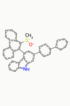 C[S+]([O-])c1c(-c2cc(-c3ccc(-c4ccccc4)cc3)cc3[nH]c4ccccc4c23)c2ccccc2c2ccccc12